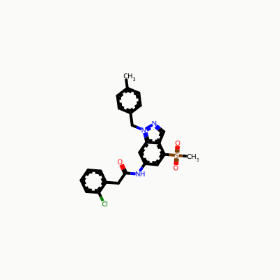 Cc1ccc(Cn2ncc3c(S(C)(=O)=O)cc(NC(=O)Cc4ccccc4Cl)cc32)cc1